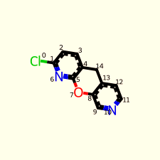 Clc1ccc2c(n1)Oc1cnccc1C2